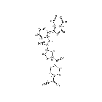 C#CC(=O)N1CCC(C(=O)N2CCC(c3cc4c(-c5cnn6ncccc56)ccnc4[nH]3)C2)CC1